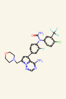 NC(=O)N(c1ccc(Cl)c(C(F)(F)F)c1)c1ccc(-c2cc(CN3CCOCC3)n3ncnc(N)c23)cc1F